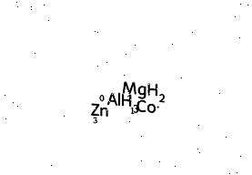 [AlH3].[Co].[MgH2].[Zn]